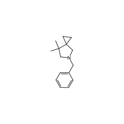 CC1(C)CN(Cc2ccccc2)CC12CC2